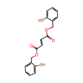 O=C(/C=C/C(=O)OCc1ccccc1S)OCc1ccccc1S